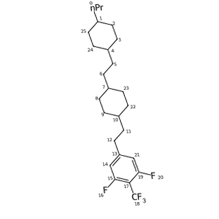 CCCC1CCC(CCC2CCC(CCc3cc(F)c(C(F)(F)F)c(F)c3)CC2)CC1